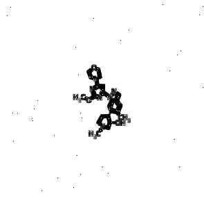 COc1nc(N2CCOCC2)cc(-n2ncc3cc(C)c([C@H]4CCN(C)C[C@@H]4O)cc32)n1